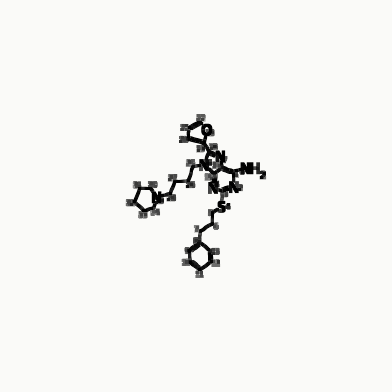 Nc1nc(SCCCc2ccccc2)nc2c1nc(-c1ccco1)n2CCCCN1CCCCC1